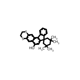 CC1(C)CC(C)(C)CC2(C1)c1ccccc1-c1c2cc(O)c2cc3c(cc12)SCCS3